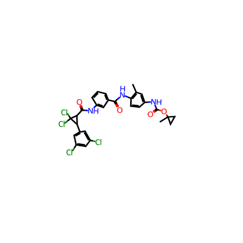 Cc1cc(NC(=O)OC2(C)CC2)ccc1NC(=O)c1cccc(NC(=O)C2C(c3cc(Cl)cc(Cl)c3)C2(Cl)Cl)c1